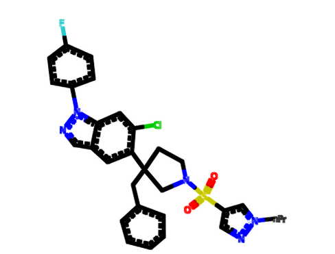 CCCn1cc(S(=O)(=O)N2CCC(Cc3ccccc3)(c3cc4cnn(-c5ccc(F)cc5)c4cc3Cl)C2)cn1